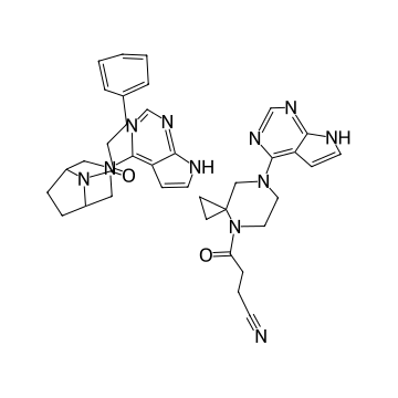 N#CCCC(=O)N1CCN(c2ncnc3[nH]ccc23)CC12CC2.O=C(CCc1ccccc1)N1C2CCC1CN(c1ncnc3[nH]ccc13)C2